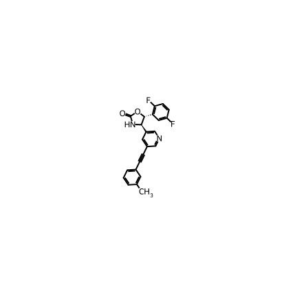 Cc1cccc(C#Cc2cncc([C@H]3NC(=O)O[C@@H]3c3cc(F)ccc3F)c2)c1